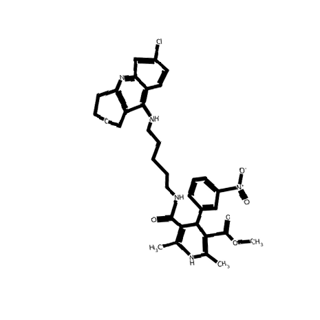 COC(=O)C1=C(C)NC(C)=C(C(=O)NCCCCCNc2c3c(nc4cc(Cl)ccc24)CCCC3)C1c1cccc([N+](=O)[O-])c1